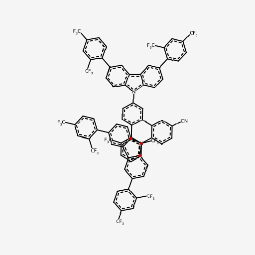 N#Cc1ccc(-n2c3ccc(-c4ccc(C(F)(F)F)cc4C(F)(F)F)cc3c3cc(-c4ccc(C(F)(F)F)cc4C(F)(F)F)ccc32)c(-c2cc(-n3c4ccc(-c5ccc(C(F)(F)F)cc5C(F)(F)F)cc4c4cc(-c5ccc(C(F)(F)F)cc5C(F)(F)F)ccc43)ccc2-c2c(C(F)(F)F)cccc2C(F)(F)F)c1